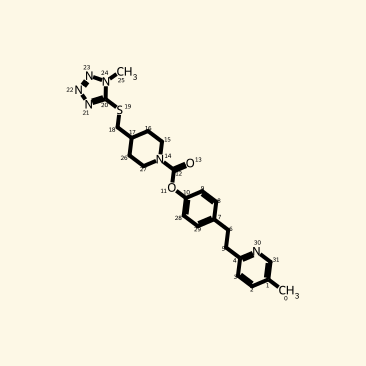 Cc1ccc(CCc2ccc(OC(=O)N3CCC(CSc4nnnn4C)CC3)cc2)nc1